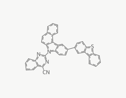 N#Cc1nc(-n2c3ccc(-c4ccc5sc6ccccc6c5c4)cc3c3c4ccccc4ccc32)nc2ccccc12